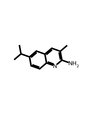 Cc1cc2cc(C(C)C)ccc2nc1N